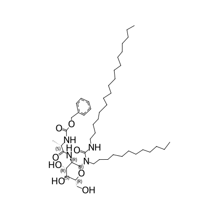 CCCCCCCCCCCCCCCCCCNC(=O)N(CCCCCCCCCCCC)[C@@H]1O[C@H](CO)[C@@H](O)[C@H](O)[C@H]1NC(=O)[C@H](C)NC(=O)OCc1ccccc1